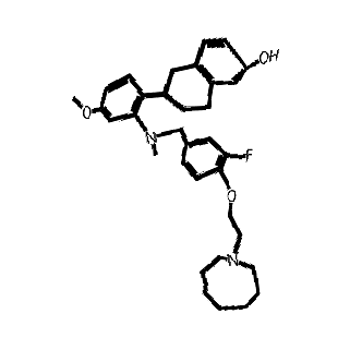 COc1ccc(C2CCc3cc(O)ccc3C2)c(N(C)Cc2ccc(OCCN3CCCCCCC3)c(F)c2)c1